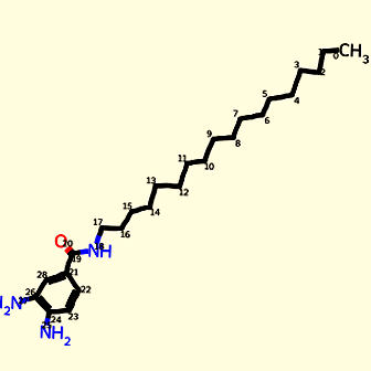 CCCCCCCCCCCCCCCCCCNC(=O)c1ccc(N)c(N)c1